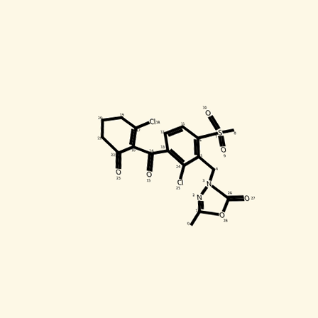 Cc1nn(Cc2c(S(C)(=O)=O)ccc(C(=O)C3=C(Cl)CCCC3=O)c2Cl)c(=O)o1